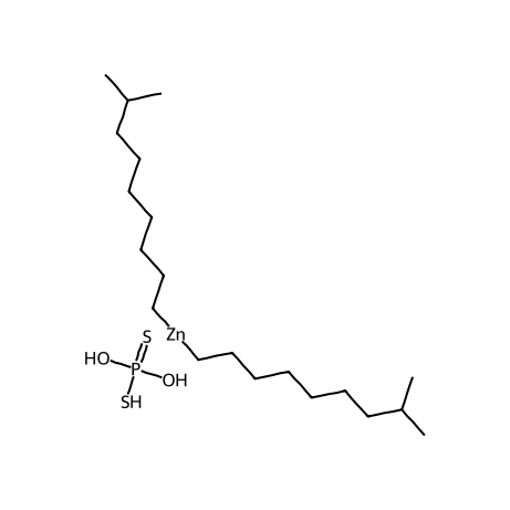 CC(C)CCCCCC[CH2][Zn][CH2]CCCCCCC(C)C.OP(O)(=S)S